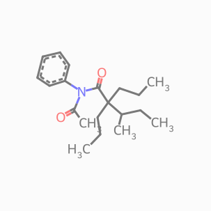 CCCC(CCC)(C(=O)N(C(C)=O)c1ccccc1)C(C)CC